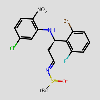 CC(C)(C)[S@@+]([O-])/N=C/C[C@@H](Nc1cc(Cl)ccc1[N+](=O)[O-])c1c(F)cccc1Br